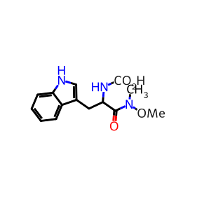 CON(C)C(=O)C(Cc1c[nH]c2ccccc12)NC(=O)O